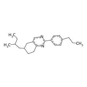 CCCc1ccc(-c2ncc3c(n2)CCC(CC(C)CC)C3)cc1